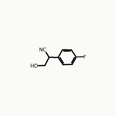 N#CC(CO)c1ccc(F)cc1